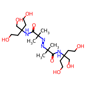 CC(C)(N=NC(C)(C)C(=O)NC(CO)(CCO)CCO)C(=O)NC(CO)(CCO)CCO